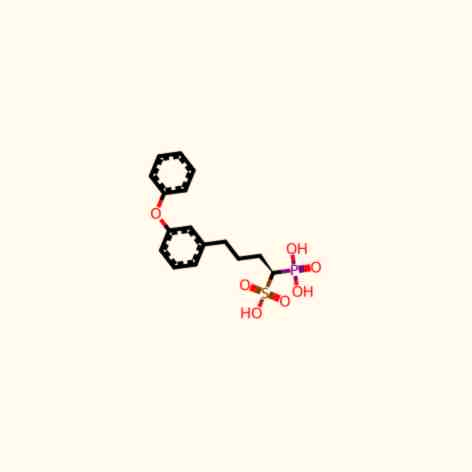 O=P(O)(O)[C@H](CCCc1cccc(Oc2ccccc2)c1)S(=O)(=O)O